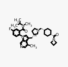 Cc1cncc2c1c(C[C@@H]1CCN(C[C@H]3CC[C@@H](C(=O)N4CCC4)CC3)C1)cn2-c1ccc(F)cc1C(=O)N(C)C(C)C